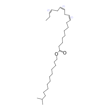 CC/C=C\C/C=C\C/C=C\CCCCCCCC(=O)OCCCCCCCCCCCC(C)C